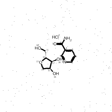 Cl.NC(=O)c1cccnc1.OC[C@H]1OC[C@H](O)[C@@H]1O